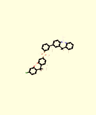 CC1(C)c2ccccc2Nc2ccc(-c3cccc(S(=O)(=O)c4ccc5c(c4)Oc4cc(Cl)ccc4C5(C)C)c3)cc21